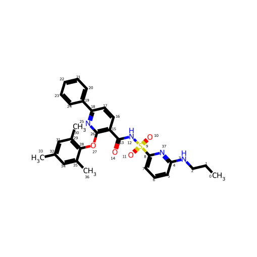 CCCNc1cccc(S(=O)(=O)NC(=O)c2ccc(-c3ccccc3)nc2Oc2c(C)cc(C)cc2C)n1